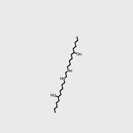 CCCCCC(O)CCCCCNCCNCCCCCC(O)CCCCC